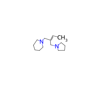 C/C=C(/CN1CCCCC1)CN1CCCC1